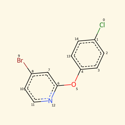 Clc1ccc(Oc2cc(Br)[c]cn2)cc1